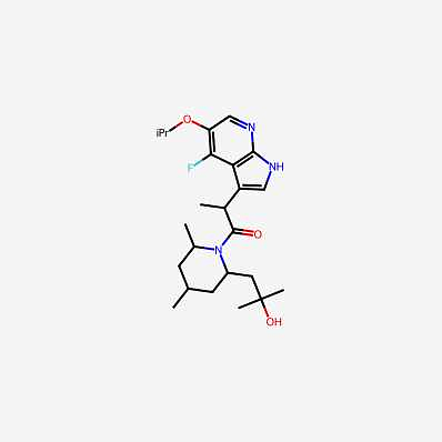 CC1CC(C)N(C(=O)C(C)c2c[nH]c3ncc(OC(C)C)c(F)c23)C(CC(C)(C)O)C1